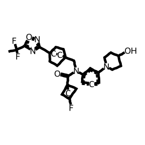 CC(F)(F)c1nc(C23CCC(CN(C(=O)C45CC(F)(C4)C5)c4cccc(N5CCC(O)CC5)c4)(CC2)CC3)no1